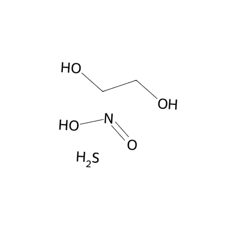 O=NO.OCCO.S